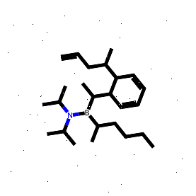 C=CCC(C)C1C=CC=CC1C(C)B(C(C)CCCC)N(C(C)C)C(C)C